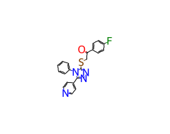 O=C(CSc1nnc(-c2ccncc2)n1-c1ccccc1)c1ccc(F)cc1